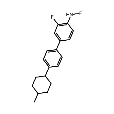 CC1CCC(c2ccc(-c3ccc(NF)c(F)c3)cc2)CC1